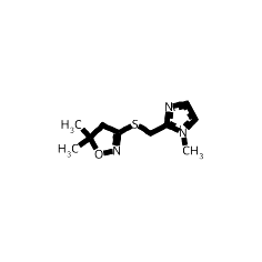 Cn1ccnc1CSC1=NOC(C)(C)C1